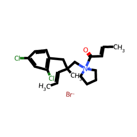 CC=CC(C)(Cc1ccc(Cl)cc1Cl)C[N+]1(C(=O)/C=C/C)CCCC1.[Br-]